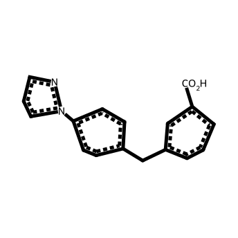 O=C(O)c1cccc(Cc2ccc(-n3cccn3)cc2)c1